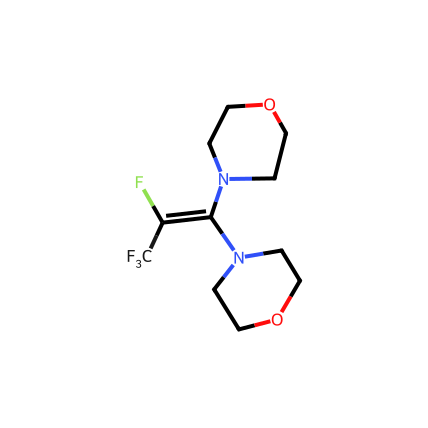 FC(=C(N1CCOCC1)N1CCOCC1)C(F)(F)F